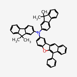 CC1(C)c2ccccc2-c2ccc(N(c3ccc4c(c3)C(C)(C)c3ccccc3-4)c3ccc4oc5c(-c6ccccc6)c6ccccc6cc5c4c3)cc21